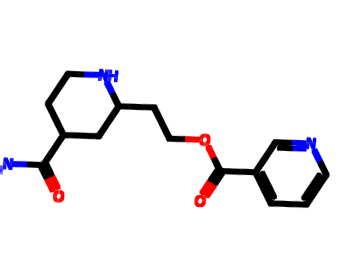 NC(=O)C1CCNC(CCOC(=O)c2cccnc2)C1